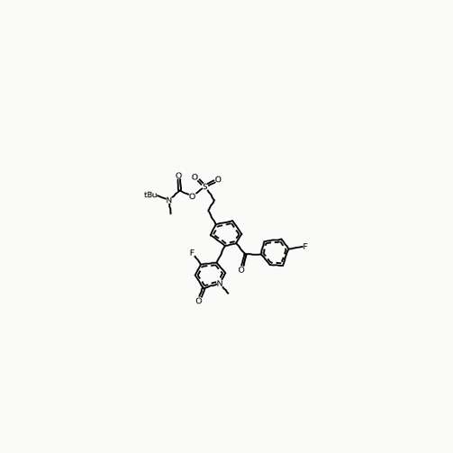 CN(C(=O)OS(=O)(=O)CCc1ccc(C(=O)c2ccc(F)cc2)c(-c2cn(C)c(=O)cc2F)c1)C(C)(C)C